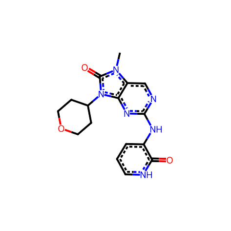 Cn1c(=O)n(C2CCOCC2)c2nc(Nc3ccc[nH]c3=O)ncc21